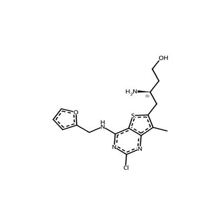 Cc1c(C[C@@H](N)CCO)sc2c(NCc3ccco3)nc(Cl)nc12